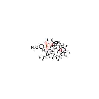 C=C1C[C@H]2[C@@H](C(=C[C@H](C[C@@H](C)CCCC)C(C)(C)C)O[SiH](C)C)[C@H](C(C)(C)C)C[C@@]2(O[SiH](C)C)C1OS(=O)(=O)c1ccc(C)cc1